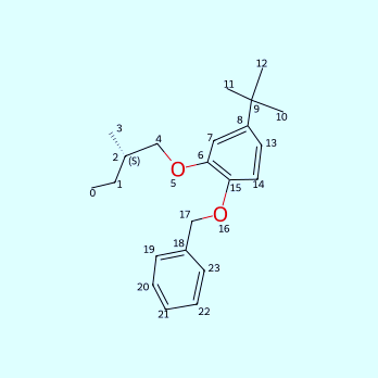 CC[C@H](C)COc1cc(C(C)(C)C)ccc1OCc1ccccc1